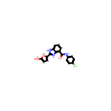 O=C(Nc1ccc(Cl)cc1)c1cccc2[nH]c(-c3ccc(O)o3)nc12